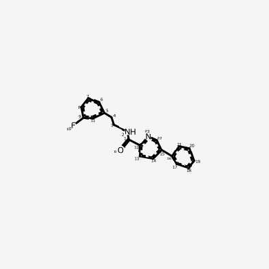 O=C(NCCc1cccc(F)c1)c1ccc(-c2ccccc2)cn1